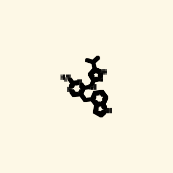 CC(C)c1cc(Nc2nc(N)ncc2Cc2cccc3[nH]ccc23)n[nH]1